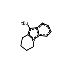 CC(C)(C)c1c2n(c3ccccc13)CCCC2